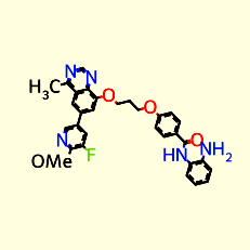 COc1ncc(-c2cc(OCCCOc3ccc(C(=O)Nc4ccccc4N)cc3)c3ncnc(C)c3c2)cc1F